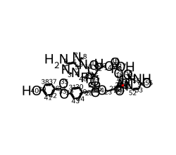 Nc1ncnc2c1ncn2[C@@H]1O[C@@H]2COP(=O)(O)O[C@@H]3[C@H](F)C(CO[P@@](=O)(SCc4ccc(OC(=O)c5ccc(O)cc5)cc4)O[C@H]2[C@H]1F)O[C@H]3n1ccc(=O)[nH]c1=O